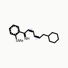 CSc1ccccc1C(=N)/C=C\C=C/CC1CCCCC1